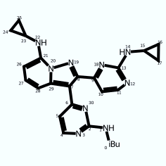 CCC(C)Nc1nccc(-c2c(-c3ccnc(NC4CC4)n3)nn3c(NC4CC4)cccc23)n1